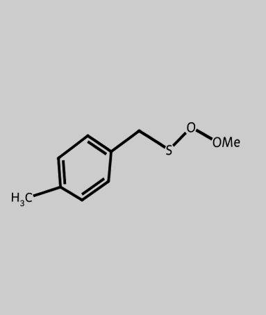 COOSCc1ccc(C)cc1